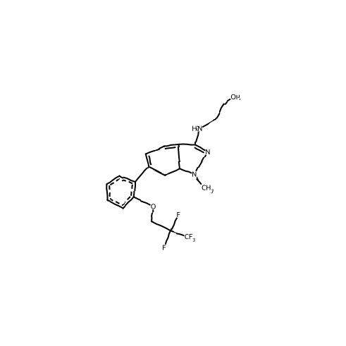 CN1N=C(NCCO)C2=CC=C(c3ccccc3OCC(F)(F)C(F)(F)F)CC21